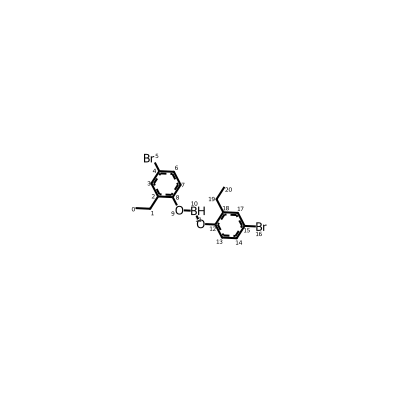 CCc1cc(Br)ccc1OBOc1ccc(Br)cc1CC